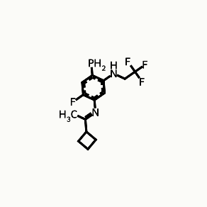 C/C(=N\c1cc(NCC(F)(F)F)c(P)cc1F)C1CCC1